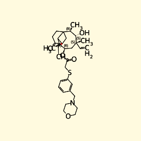 C=C[C@]1(C)C[C@@H](OC(=O)CSc2cccc(CN3CCOCC3)c2)[C@]2(C)C(C)CC34CC(CCC3=O)(C42)[C@@H](C)[C@@H]1O